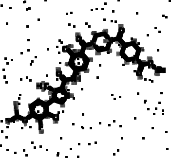 Cn1c(-c2ccc(OC(F)F)c(F)c2Cl)cnc1C(=O)Nc1ccc(C(=O)N2CCN(C(=O)C3CCN(C(=O)OC(C)(C)C)CC3)CC2)c(Cl)c1